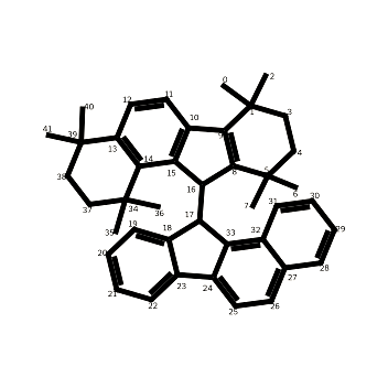 CC1(C)CCC(C)(C)C2=C1c1ccc3c(c1C2C1c2ccccc2-c2ccc4ccccc4c21)C(C)(C)CCC3(C)C